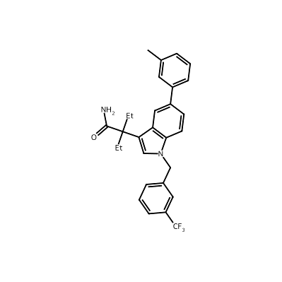 CCC(CC)(C(N)=O)c1cn(Cc2cccc(C(F)(F)F)c2)c2ccc(-c3cccc(C)c3)cc12